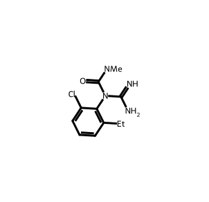 CCc1cccc(Cl)c1N(C(=N)N)C(=O)NC